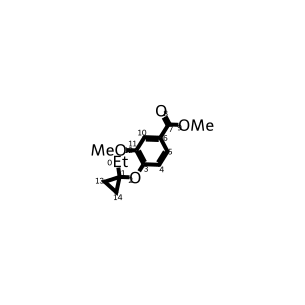 CCC1(Oc2ccc(C(=O)OC)cc2OC)CC1